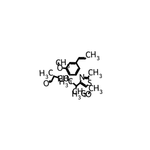 CC(C)C=O.CC=Cc1ccc(O)c(OC)c1.COC.Cc1nc(C(C)C)cs1